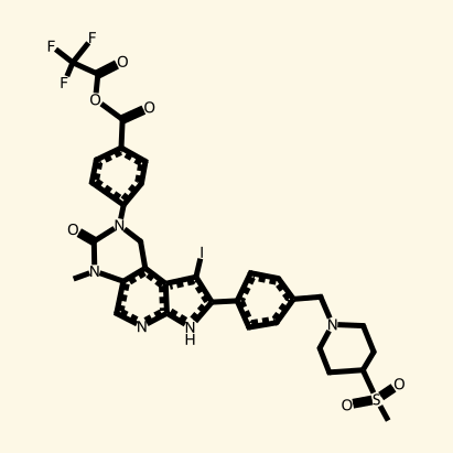 CN1C(=O)N(c2ccc(C(=O)OC(=O)C(F)(F)F)cc2)Cc2c1cnc1[nH]c(-c3ccc(CN4CCC(S(C)(=O)=O)CC4)cc3)c(I)c21